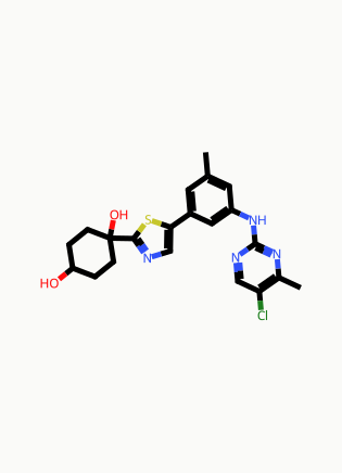 Cc1cc(Nc2ncc(Cl)c(C)n2)cc(-c2cnc(C3(O)CCC(O)CC3)s2)c1